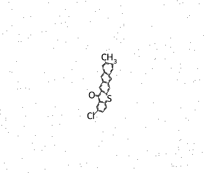 Cc1ccc2cc3cc4sc5ccc(Cl)cc5c(=O)c4cc3cc2c1